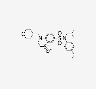 CCc1ccc(N(CC(C)C)S(=O)(=O)c2ccc3c(c2)[S+]([O-])CCN3CC2CCOCC2)cc1